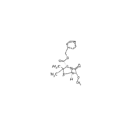 COC1C(=O)N2[C@@H]1SC(C)(C)[C@@H]2C(=O)OCc1ccccc1